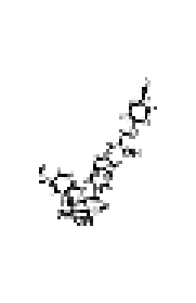 COc1ccc(C[C@@](NC(=O)O)(C(=O)N2CC3CC(CN(C[C@H](O)COc4ccc(C#N)cc4)C3)C2)C(C)(C)C)cc1